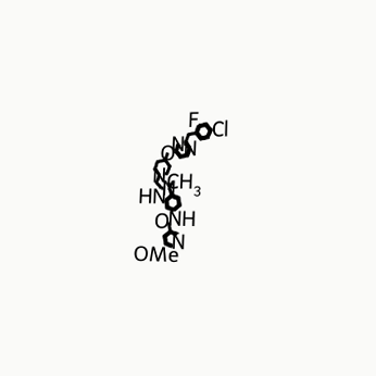 COc1ccc(C(=O)Nc2ccc3c(c2)NC(CN2CCC(Oc4ccnc(Cc5ccc(Cl)cc5F)n4)CC2)N3C)cn1